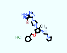 Cc1c(NCCN2CCCC2)cc(OCC2CCCCC2)cc1N1CCN(c2ncnc3[nH]nc(Br)c23)CC1.Cl